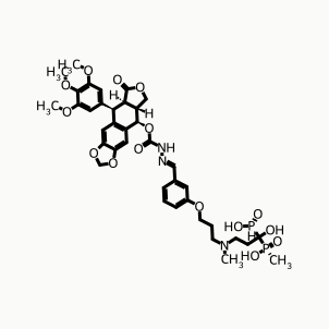 COc1cc([C@@H]2c3cc4c(cc3[C@H](OC(=O)N/N=C/c3cccc(OCCCN(C)CCC(O)([PH](=O)O)P(C)(=O)O)c3)[C@H]3COC(=O)[C@H]23)OCO4)cc(OC)c1OC